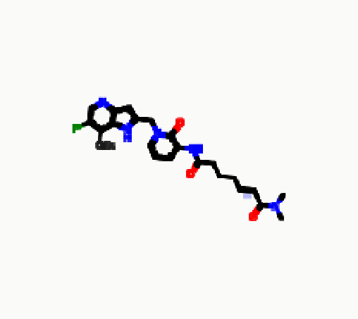 CC(C)COc1c(F)cnc2cc(Cn3cccc(NC(=O)CCC/C=C/C(=O)N(C)C)c3=O)[nH]c12